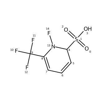 O=S(=O)(O)C1C=CC=C(C(F)(F)F)N1F